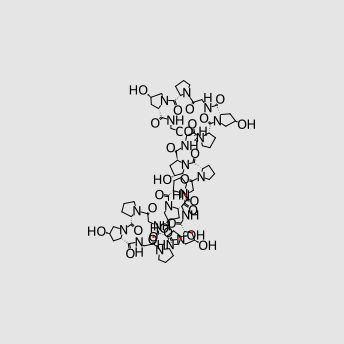 O=C(O)CNC(=O)[C@@H]1C[C@@H](O)CN1C(=O)[C@@H]1CCCN1C(=O)CNC(=O)[C@@H]1C[C@@H](O)CN1C(=O)[C@@H]1CCCN1C(=O)CNC(=O)[C@@H]1C[C@@H](O)CN1C(=O)[C@@H]1CCCN1C(=O)CNC(=O)[C@@H]1C[C@@H](O)CN1C(=O)[C@@H]1CCCN1C(=O)CNC(=O)[C@@H]1C[C@@H](O)CN1C(=O)[C@@H]1CCCN1C(=O)CNC(=O)[C@@H]1C[C@@H](O)CN1C(=O)[C@@H]1CCCN1C(=O)CNC(=O)[C@@H]1C[C@@H](O)CN1